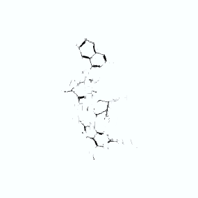 COc1nc(N)nc2c1nc(Cl)n2[C@@H]1O[C@H](COP(=O)(NC(C)C(=O)O)Oc2cccc3ccccc23)[C@@H](O)[C@@]1(C)O